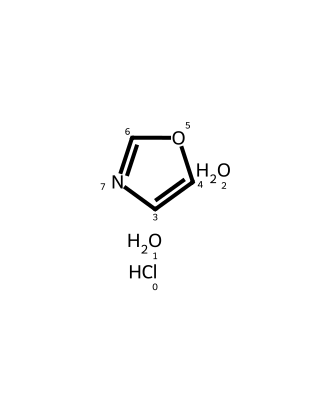 Cl.O.O.c1cocn1